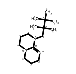 CC(C)(C)C(C)(C)CN1CCCN2CCCN=C21